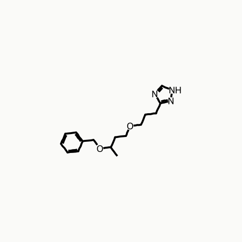 CC(CCOCCCc1nc[nH]n1)OCc1ccccc1